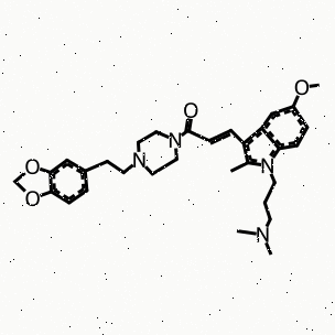 COc1ccc2c(c1)c(/C=C/C(=O)N1CCN(CCc3ccc4c(c3)OCO4)CC1)c(C)n2CCCN(C)C